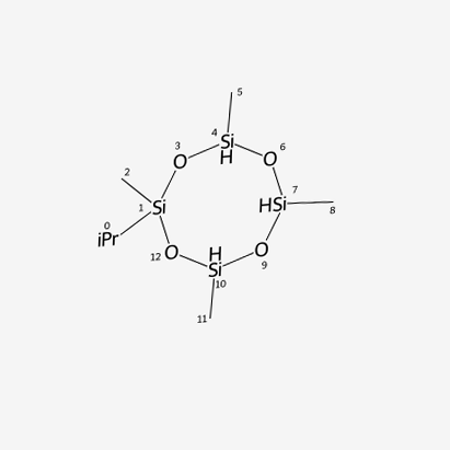 CC(C)[Si]1(C)O[SiH](C)O[SiH](C)O[SiH](C)O1